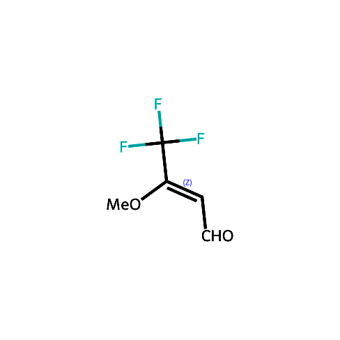 CO/C(=C\C=O)C(F)(F)F